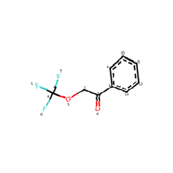 O=C([CH]OC(F)(F)F)c1ccccc1